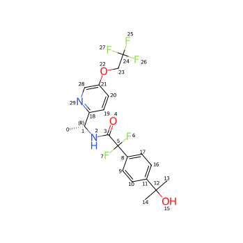 C[C@@H](NC(=O)C(F)(F)c1ccc(C(C)(C)O)cc1)c1ccc(OCC(F)(F)F)cn1